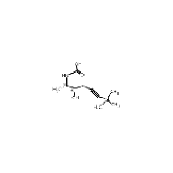 C[C@H](NC(=O)O)[C@H](O)CC#C[Si](C)(C)C